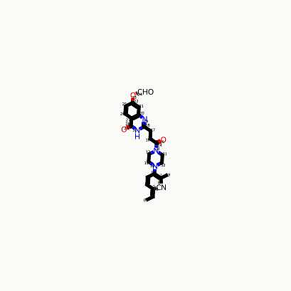 C/C=C(C#N)\C=C/C(=C(C)C)N1CCN(C(=O)CCc2nc3cc(OC=O)ccc3c(=O)[nH]2)CC1